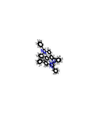 c1ccc(-c2cc(-c3ccccc3)nc(-c3cccc([Si](c4ccccc4)(c4ccccc4)c4cccc(-c5nc(-c6ccccc6)cc(-n6c7ccccc7c7ccccc76)n5)c4)c3)n2)cc1